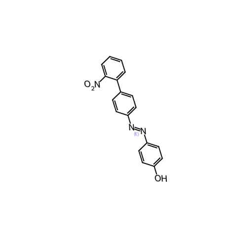 O=[N+]([O-])c1ccccc1-c1ccc(/N=N/c2ccc(O)cc2)cc1